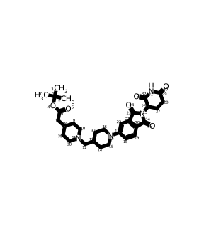 CC(C)(C)OC(=O)CC1CCN(CC2CCN(c3ccc4c(c3)C(=O)N(C3CCC(=O)NC3=O)C4=O)CC2)CC1